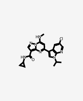 CNc1cc(-c2cn(C(C)C)c3ncc(Cl)cc23)nc2c(C(=O)NC3CC3)cnn12